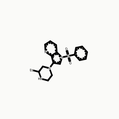 CCC1CN(c2cn(S(=O)(=O)c3ccccc3)c3cccnc23)CCN1